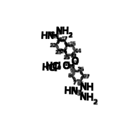 Cl.Cl.N=C(N)Nc1ccc(C(=O)Oc2ccc3cc(C(=N)N)ccc3c2)cc1